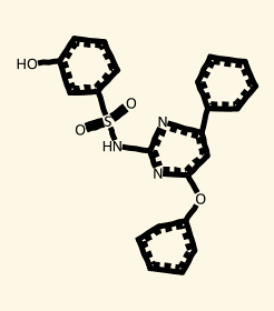 O=S(=O)(Nc1nc(Oc2ccccc2)cc(-c2ccccc2)n1)c1cccc(O)c1